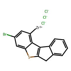 Brc1c[c]([Zr+3])c2c3c(sc2c1)Cc1ccccc1-3.[Cl-].[Cl-].[Cl-]